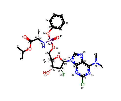 CC(C)OC(=O)[C@H](C)N[P@](=O)(OC[C@@]1(C)O[C@@H](n2cnc3c(N(C)C)nc(Cl)nc32)[C@H](F)[C@@H]1O)Oc1ccccc1